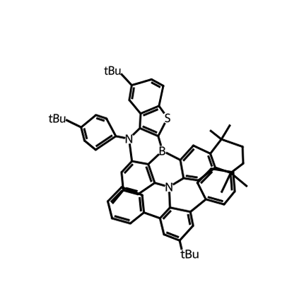 Cc1cc2c3c(c1)N(c1ccc(C(C)(C)C)cc1)c1c(sc4ccc(C(C)(C)C)cc14)B3c1cc3c(cc1N2c1c(-c2ccccc2)cc(C(C)(C)C)cc1-c1ccccc1)C(C)(C)CCC3(C)C